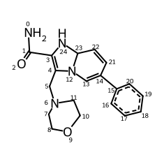 NC(=O)C1=C(CN2CCOCC2)N2C=C(c3ccccc3)C=CC2N1